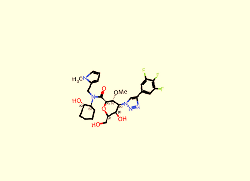 CO[C@@H]1[C@@H](n2cc(-c3cc(F)c(F)c(F)c3)nn2)[C@@H](O)[C@@H](CO)O[C@H]1C(=O)N(Cc1cccn1C)[C@H]1CCCC[C@@H]1O